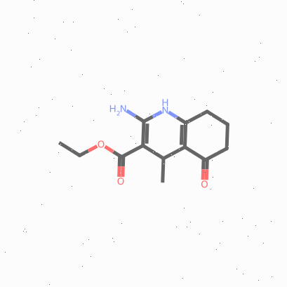 CCOC(=O)C1=C(N)NC2=C(C(=O)CCC2)C1C